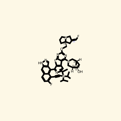 CC(C)[Si](C#Cc1c(F)ccc2cc3[nH]ncc3c(-c3nccc4c3sc3nc(OC[C@@]56CCCN5C/C(=C\F)C6)nc(N5C[C@@H]6C[C@H](O)[C@H](C5)N6)c34)c12)(C(C)C)C(C)C